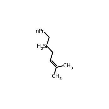 CCCC[SiH2]CC=C(C)C